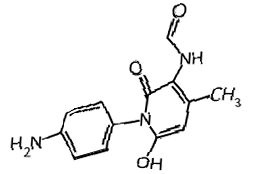 Cc1cc(O)n(-c2ccc(N)cc2)c(=O)c1NC=O